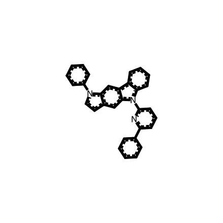 c1ccc(-c2cccc(-n3c4ccccc4c4cc5c(ccn5-c5ccccc5)cc43)n2)cc1